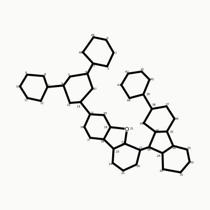 C1CCC(C2CC(C3CCCCC3)CC(C3CCC4C(C3)OC3C4CCCC3C3C4CCCCC4C4CCC(C5CCCCC5)CC43)C2)CC1